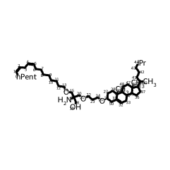 CCCCC/C=C\C/C=C\CCCCCCCCOCC(N)(CO)COCCCO[C@H]1CC[C@@]2(C)C(=CCC3C4CCC(C(C)CCCC(C)C)[C@@]4(C)CCC32)C1